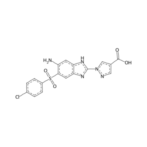 Nc1cc2[nH]c(-n3cc(C(=O)O)cn3)nc2cc1S(=O)(=O)c1ccc(Cl)cc1